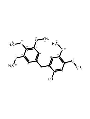 COc1cc(O)c(Cc2cc(OC)c(OC)c(OC)c2)cc1OC